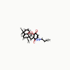 CC(C)CCNC1=CC(=O)C(O)=C(C[C@@]2(C)[C@@H]3CCCC(C)(C)C3=CC[C@@H]2C)C1=O